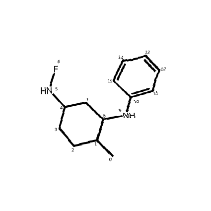 CC1CCC(NF)CC1Nc1ccccc1